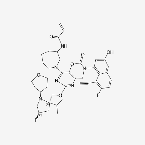 C#Cc1c(F)ccc2cc(O)cc(N3Cc4nc(OC[C@]5(C(C)C)C[C@@H](F)CN5C5CCOCC5)nc(N5CCCCC(NC(=O)C=C)C5)c4OC3=O)c12